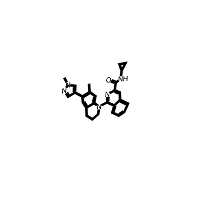 Cc1cc2c(cc1-c1cnn(C)c1)CCCN2c1nc(C(=O)NC2CC2)cc2ccccc12